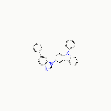 c1ccc(-c2ccc3ncn(-c4ccc5c(c4)c4ccccc4n5-c4ccccc4)c3c2)cc1